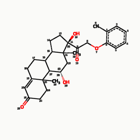 [C-]#[N+]c1ccccc1OCC(=O)[C@@]1(O)CCC2C3CCC4=CC(=O)CCC4(C)C3[C@@H](O)CC21C